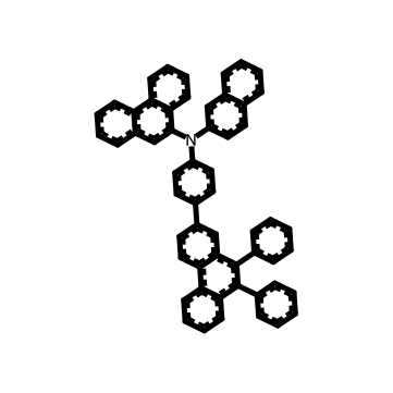 c1ccc(-c2c(-c3ccccc3)c3cc(-c4ccc(N(c5ccc6ccccc6c5)c5cc6ccccc6c6ccccc56)cc4)ccc3c3ccccc23)cc1